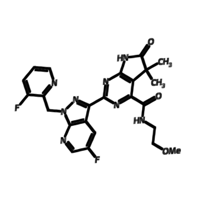 COCCNC(=O)c1nc(-c2nn(Cc3ncccc3F)c3ncc(F)cc23)nc2c1C(C)(C)C(=O)N2